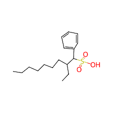 CCCCCCCC(CC)C(c1ccccc1)S(=O)(=O)O